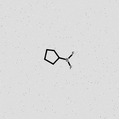 FB(F)C1CCCC1